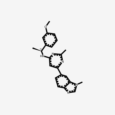 COc1cccc([C@H](C)Nc2cc(-c3ccc4ncn(C)c4c3)nc(C)n2)c1